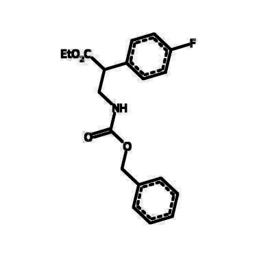 CCOC(=O)C(CNC(=O)OCc1ccccc1)c1ccc(F)cc1